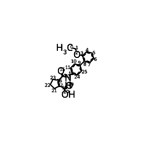 CCOc1ccccc1-c1ccc(NC(=O)C2=C(C(=O)O)CCC2)cc1